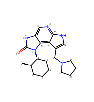 C[C@@H]1CCCC[C@@H]1n1c(=O)[nH]c2cnc3[nH]cc(CN4CCCC4)c3c21